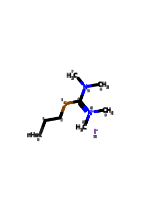 CCCCCCCCSC(N(C)C)=[N+](C)C.[I-]